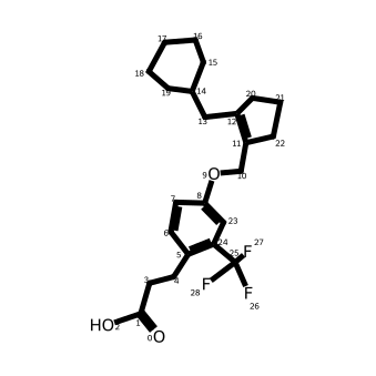 O=C(O)CCc1ccc(OCC2=C(CC3CCCCC3)CCC2)cc1C(F)(F)F